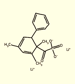 CC1=CC(c2ccccc2)C(C)(C(=O)P(=O)([O-])[O-])C(C)=C1.[Li+].[Li+]